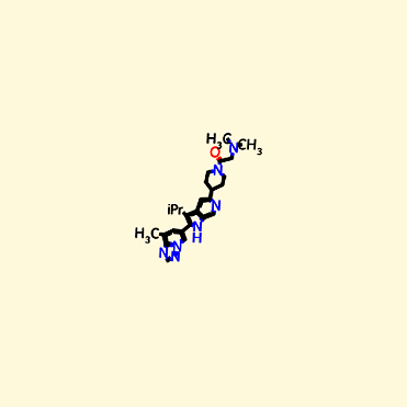 Cc1cc(-c2[nH]c3cnc(C4CCN(C(=O)CN(C)C)CC4)cc3c2C(C)C)cn2ncnc12